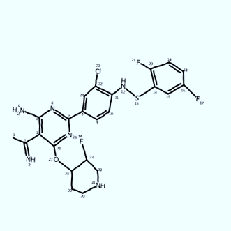 CC(=N)c1c(N)nc(-c2ccc(NSc3cc(F)ccc3F)c(Cl)c2)nc1OC1CCNCC1F